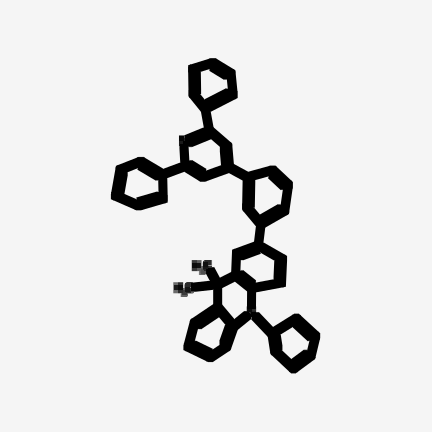 CC1(C)c2ccccc2N(c2ccccc2)c2ccc(-c3cccc(-c4cc(-c5ccccc5)nc(-c5ccccc5)c4)c3)cc21